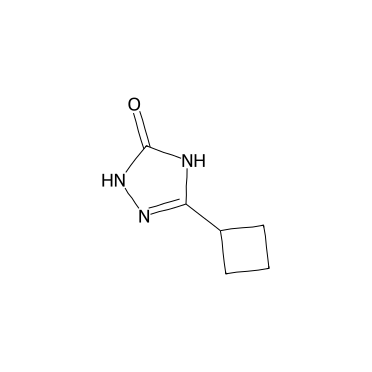 O=c1[nH]nc(C2CCC2)[nH]1